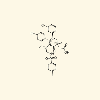 CC[C@@H](CNS(=O)(=O)c1ccc(C)cc1)N1C(=O)[C@@](C)(CC(=O)O)C[C@H](c2cccc(Cl)c2)[C@H]1c1ccc(Cl)cc1